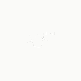 CCCCCC1(C)CC(C)(C)CS1